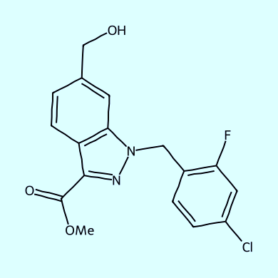 COC(=O)c1nn(Cc2ccc(Cl)cc2F)c2cc(CO)ccc12